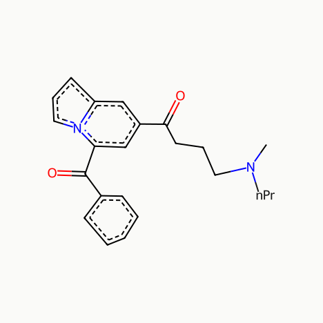 CCCN(C)CCCC(=O)c1cc(C(=O)c2ccccc2)n2cccc2c1